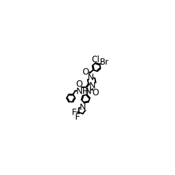 O=C(NCc1ccccc1)c1c2n(c(=O)n1-c1ccc(N3CCC(F)(F)C3)cc1)CCN(C(=O)c1ccc(Br)c(Cl)c1)C2